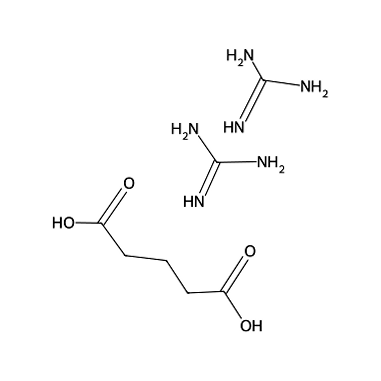 N=C(N)N.N=C(N)N.O=C(O)CCCC(=O)O